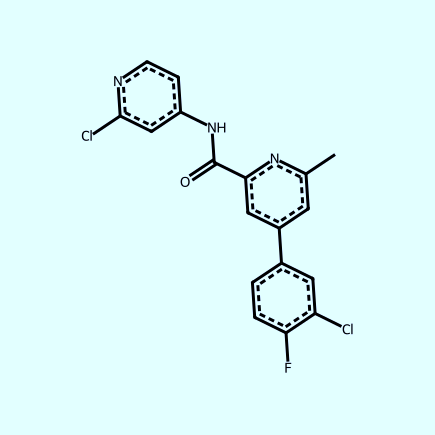 Cc1cc(-c2ccc(F)c(Cl)c2)cc(C(=O)Nc2ccnc(Cl)c2)n1